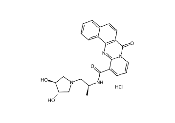 C[C@@H](CN1C[C@H](O)[C@@H](O)C1)NC(=O)c1cccn2c(=O)c3ccc4ccccc4c3nc12.Cl